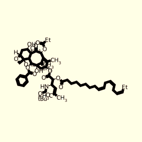 CC/C=C\C/C=C\C/C=C\CCCCCCCC(=O)O[C@@H](C(=O)O[C@H]1C[C@@]2(O)[C@@H](OC(=O)c3ccccc3)C3[C@](C)(C(=O)[C@H](OC(=O)CC)C(=C1C)C2(C)C)[C@@H](O)C[C@H]1OC[C@@]31OC(C)=O)[C@H](C=C(C)C)NC(=O)OC(C)(C)C